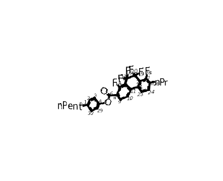 CCCCCc1ccc(OC(=O)c2ccc3c(c2F)C(F)(F)C(F)(F)c2c-3ccc(CCC)c2F)cc1